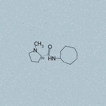 CN1CCC[C@H]1C(=O)NC1CCCCCCC1